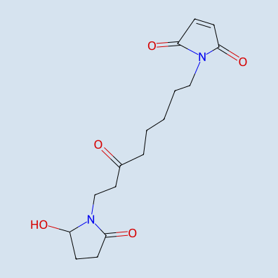 O=C(CCCCCN1C(=O)C=CC1=O)CCN1C(=O)CCC1O